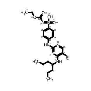 CCCC(CCC)Nc1nc(Nc2ccc(S(C)(=O)=NC(=O)OCC)cc2)ncc1Br